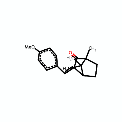 COc1ccc(C=C2C(=O)C3(C)CCC2C3(C)C)cc1